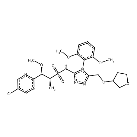 COc1cccc(OC)c1-n1c(COC2CCOC2)nnc1NS(=O)(=O)[C@@H](C)[C@H](OC)c1ncc(Cl)cn1